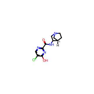 O=C(NC1CN2CC[C@H]1C2)c1ncc(Cl)c(O)n1